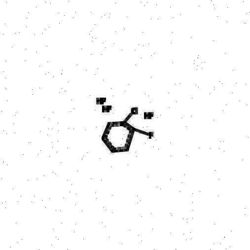 F.F.F.Fc1ccccc1Cl